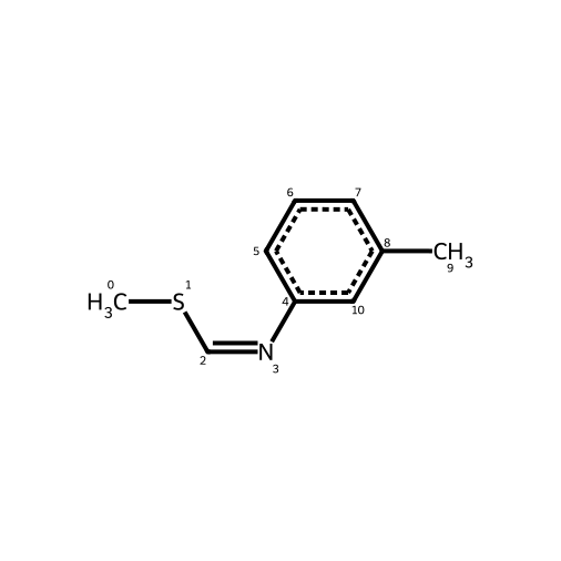 CS/C=N\c1cccc(C)c1